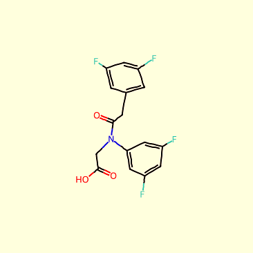 O=C(O)CN(C(=O)Cc1cc(F)cc(F)c1)c1cc(F)cc(F)c1